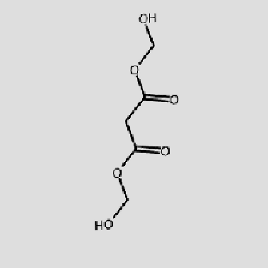 O=C(CC(=O)OCO)OCO